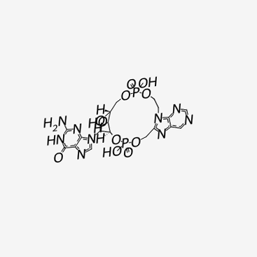 Nc1nc2c(ncn2C2O[C@@H]3COP(=O)(O)OCCn4c(nc5cncnc54)COP(=O)(O)O[C@@H]2[C@@H]3O)c(=O)[nH]1